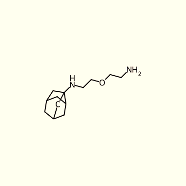 NCCOCCNC12CC3CC(CC1C3)C2